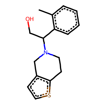 Cc1ccccc1C(CO)N1CCc2sccc2C1